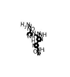 CN(C)C(=O)Nc1cncc(-c2cnc3[nH]nc(-c4nc5c(C(=O)N=NN)ccnc5[nH]4)c3c2)c1